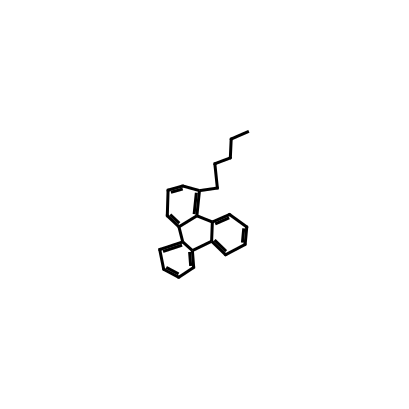 CCCCCc1cccc2c3ccccc3c3ccccc3c12